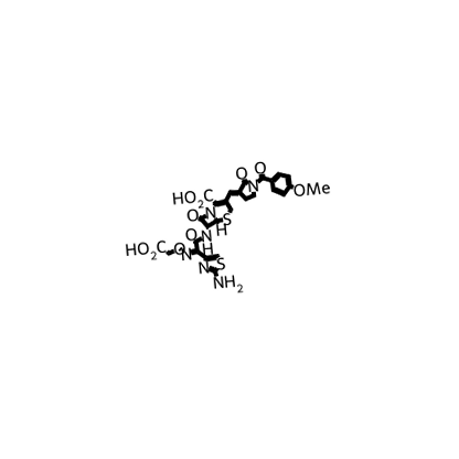 COc1ccc(C(=O)N2CCC(=CC3=C(C(=O)O)N4C(=O)[C@@H](NC(=O)/C(=N\OCC(=O)O)c5csc(N)n5)[C@H]4SC3)C2=O)cc1